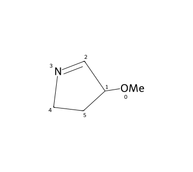 COC1C=NCC1